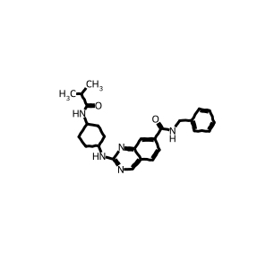 CC(C)C(=O)NC1CCC(Nc2ncc3ccc(C(=O)NCc4ccccc4)cc3n2)CC1